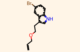 C=CCOCCc1c[nH]c2ccc(Br)cc12